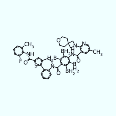 Bc1c(B)c(C(=O)N2CCc3cc(C(=O)Nc4c(C)cccc4F)sc3-c3ccccc32)c(B)c(B)c1NC(=O)c1cc(C)cnc1N1CC2(CCOCC2)C1